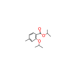 Cc1ccc(C(=O)OC(C)C)c(OC(C)C)c1